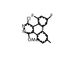 COc1nnc(Cl)c(-c2c(F)cc(F)cc2F)c1-c1ccc(C)cc1